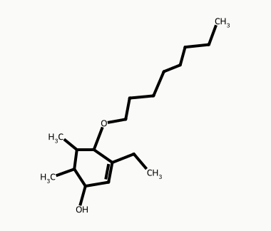 CCCCCCCCOC1C(CC)=CC(O)C(C)C1C